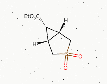 CCOC(=O)[C@@H]1[C@@H]2CS(=O)(=O)C[C@@H]21